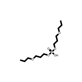 CCCOCCCOP(=O)(O)OCCCOCCC